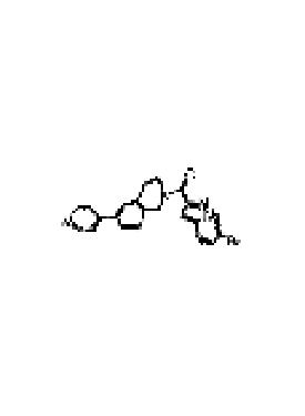 O=C(c1cc2ncc(Br)cn2n1)N1CCc2cc(-c3ccncc3)ccc2C1